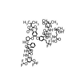 CC(C)=C1OC(=O)N(c2cc(OC3CCCC3)c(Cl)cc2F)C1=O.COc1nc(C)nc(NC(=O)NS(=O)(=O)c2ccccc2CCC(F)(F)F)n1.CP(=O)(O)CCC(N)C(=O)O.O=C(Nc1nc(OC(F)F)cc(OC(F)F)n1)NS(=O)(=O)c1ccccc1C(=O)O